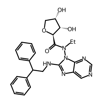 CCN(C(=O)[C@H]1OC[C@H](O)[C@@H]1O)n1c(NCC(c2ccccc2)c2ccccc2)nc2cncnc21